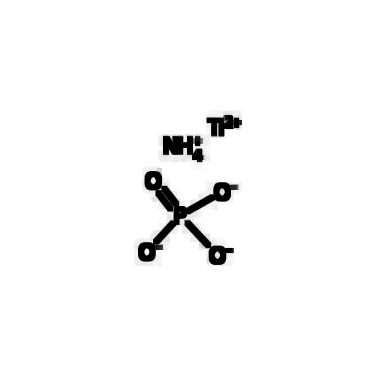 O=P([O-])([O-])[O-].[NH4+].[Ti+2]